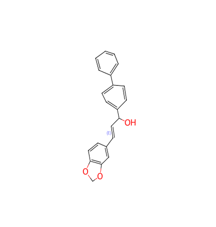 OC(/C=C/c1ccc2c(c1)OCO2)c1ccc(-c2ccccc2)cc1